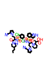 CC(C(=O)O)C1CCCCN1C(=O)C(CCn1cccc1C#N)NS(=O)(=O)c1cccc2[nH]ccc12.CCCC1CCN(C(=O)C(CCn2cccc2C#N)NS(=O)(=O)c2c(Cl)cccc2Cl)CC1